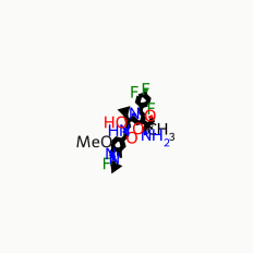 COc1cc(C(=O)NCC(O)(c2cc3c(c(-c4cc(F)c(F)cc4F)n2)OC[C@]3(C)C(N)=O)C2CC2)cc2cn(C3(F)CC3)nc12